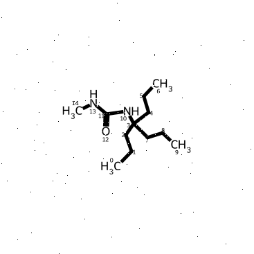 CCCC(CCC)(CCC)NC(=O)NC